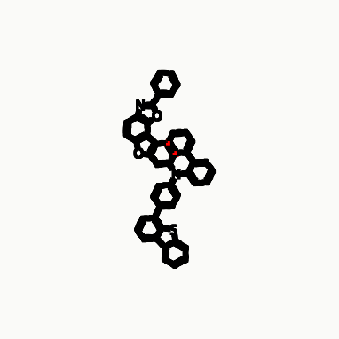 c1ccc(-c2nc3ccc4oc5cc(N(c6ccc(-c7cccc8c7sc7ccccc78)cc6)c6ccccc6-c6ccccc6)ccc5c4c3o2)cc1